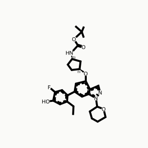 CCc1cc(O)c(F)cc1-c1cc(O[C@H]2CC[C@H](NC(=O)OC(C)(C)C)C2)c2cnn(C3CCCCO3)c2c1